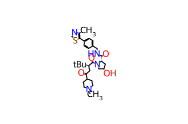 Cc1ncsc1-c1ccc(CNC(=O)[C@@H]2C[C@@H](O)CN2C(=O)[C@@H](CC(=O)C2CCN(C)CC2)C(C)(C)C)cc1